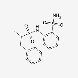 CC(Cc1ccccc1)S(=O)(=O)Nc1ccccc1S(N)(=O)=O